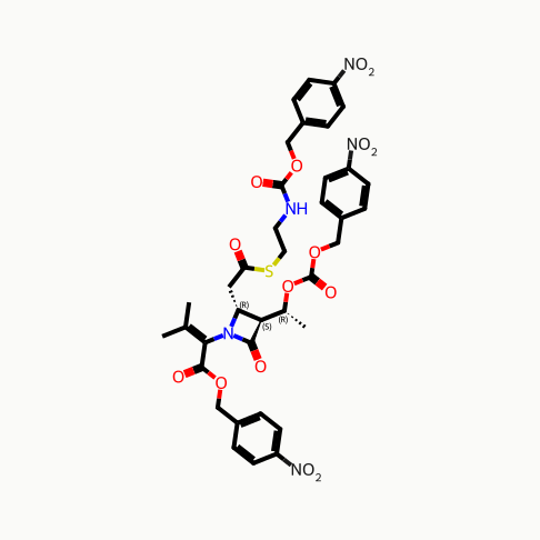 CC(C)=C(C(=O)OCc1ccc([N+](=O)[O-])cc1)N1C(=O)[C@H]([C@@H](C)OC(=O)OCc2ccc([N+](=O)[O-])cc2)[C@H]1CC(=O)SCCNC(=O)OCc1ccc([N+](=O)[O-])cc1